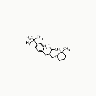 CC1CCCN(CC(Cc2ccc(C(C)(C)C)cc2)C(C)C)C1